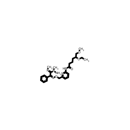 CCOC(CCCC(=O)Nc1cccc(CO/N=C(\C(=N\C)N(C)N)c2ccccc2)n1)COC